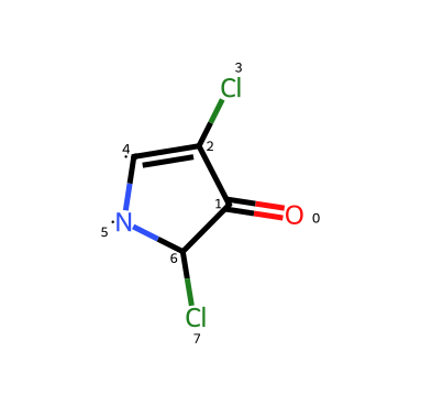 O=C1C(Cl)=[C][N]C1Cl